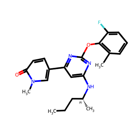 CCC[C@@H](C)Nc1cc(-c2ccc(=O)n(C)c2)nc(Oc2c(C)cccc2F)n1